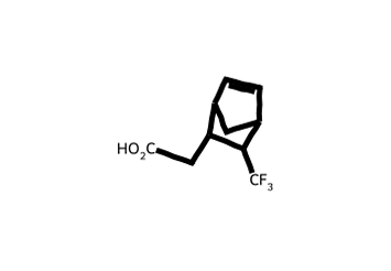 O=C(O)CC1C2C=CC(C2)C1C(F)(F)F